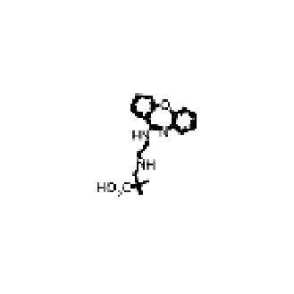 CC(C)(CNCCNC1=Nc2ccccc2Oc2ccccc21)C(=O)O